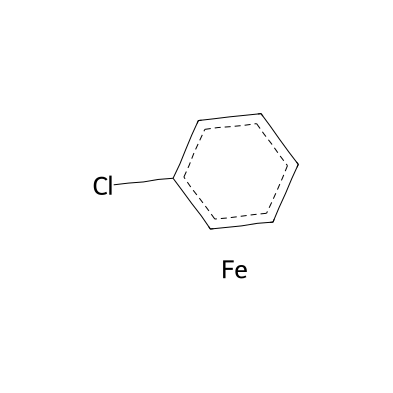 Clc1ccccc1.[Fe]